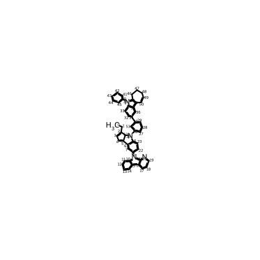 CCC1=CC=C2c3cc(-n4c5ccccc5c5cccnc54)ccc3N(c3cccc(-c4ccc5c(c4)c4c(n5-c5ccccc5)CCCC=C4)c3)C12